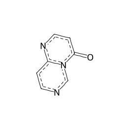 O=c1ccnc2ccncn12